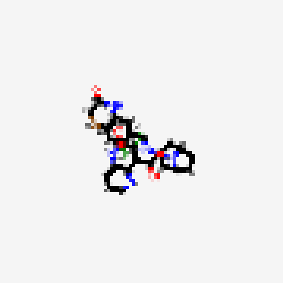 COc1nc2cccnc2c(C(O)CN2C3CCC2CC(NCc2cc4c(cc2F)SCC(=O)N4)C3)c1Cl